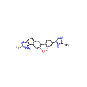 CC(C)c1ncc(-c2ccc3c(c2)COc2cc4c(ccc5nc(C(C)C)[nH]c54)cc2-3)[nH]1